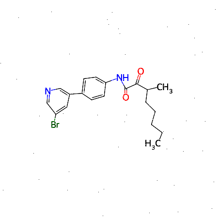 CCCCCC(C)C(=O)C(=O)Nc1ccc(-c2cncc(Br)c2)cc1